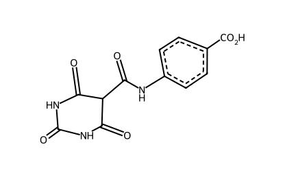 O=C1NC(=O)C(C(=O)Nc2ccc(C(=O)O)cc2)C(=O)N1